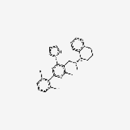 CCc1cccc(CC)c1-c1nc(C)c(CN(C)[C@@H]2CCCc3ccccc32)c(-n2cccn2)n1